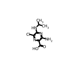 CC(C)Nc1nc(N)c(C(=O)O)nc1Cl